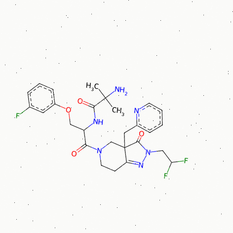 CC(C)(N)C(=O)NC(COc1cccc(F)c1)C(=O)N1CCC2=NN(CC(F)F)C(=O)C2(Cc2ccccn2)C1